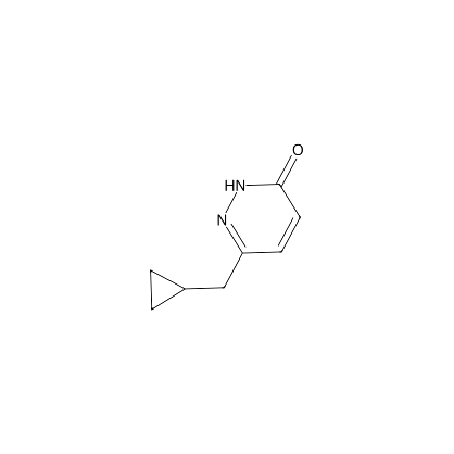 O=c1ccc(CC2CC2)n[nH]1